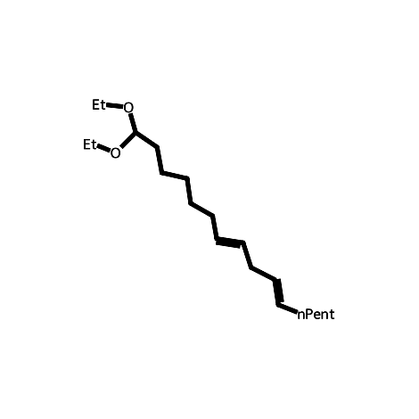 CCCCC/C=C/C/C=C/CCCCCC(OCC)OCC